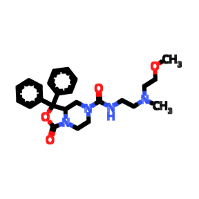 COCCN(C)CCNC(=O)N1CCN2C(=O)OC(c3ccccc3)(c3ccccc3)C2C1